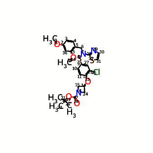 COc1ccc(CN(Sc2ccc(OC3CN(C(=O)OC(C)(C)C)C3)c(Cl)c2)c2nccs2)c(OC)c1